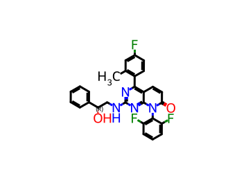 Cc1cc(F)ccc1-c1nc(NC[C@H](O)c2ccccc2)nc2c1ccc(=O)n2-c1c(F)cccc1F